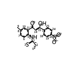 CSC(=S)Nc1ccc(C)cc1C(=O)/C=C(\O)c1ccc([N+](=O)[O-])cc1